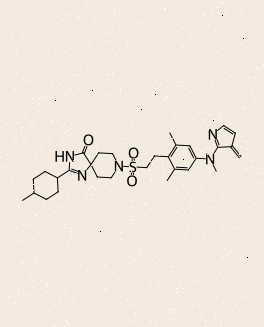 C=C1C=CN=C1N(C)c1cc(C)c(CCS(=O)(=O)N2CCC3(CC2)N=C(C2CCC(C)CC2)NC3=O)c(C)c1